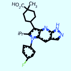 CC(C)c1c(C2CCC(C)(C(=O)O)CC2)c2nc3[nH]ncc3cc2n1-c1ccc(F)cc1